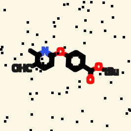 Cc1nc(Oc2ccc(C(=O)OC(C)(C)C)cc2)ccc1C=O